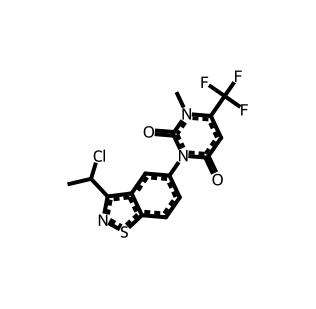 CC(Cl)c1nsc2ccc(-n3c(=O)cc(C(F)(F)F)n(C)c3=O)cc12